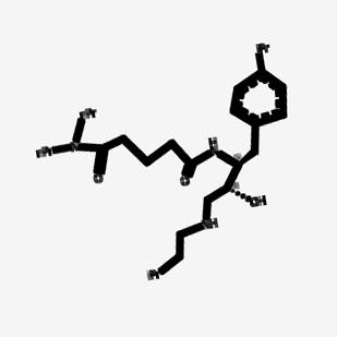 CCCN(CCC)C(=O)CCCC(=O)N[C@@H](Cc1ccc(C(C)C)cc1)[C@H](O)CNCCC(C)C